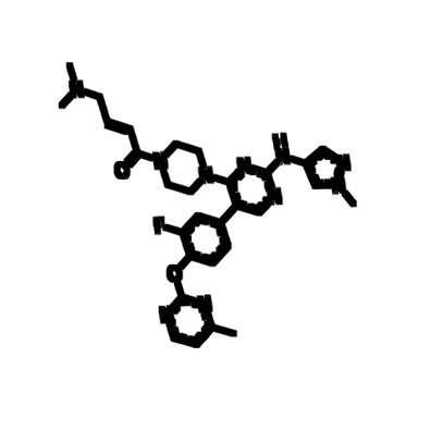 Cc1ccnc(Oc2ccc(-c3cnc(Nc4cnn(C)c4)nc3N3CCN(C(=O)/C=C/CN(C)C)CC3)cc2F)n1